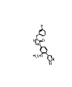 COc1cc(-n2nnn(Cc3cccc(F)c3)c2=O)ccc1-c1cn[nH]c1